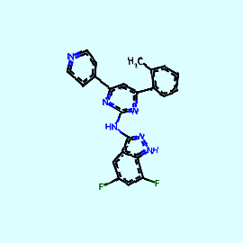 Cc1ccccc1-c1cc(-c2ccncc2)nc(Nc2n[nH]c3c(F)cc(F)cc23)n1